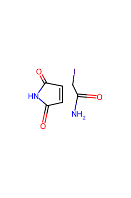 NC(=O)CI.O=C1C=CC(=O)N1